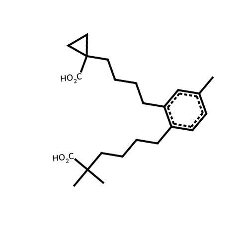 Cc1ccc(CCCCC(C)(C)C(=O)O)c(CCCCC2(C(=O)O)CC2)c1